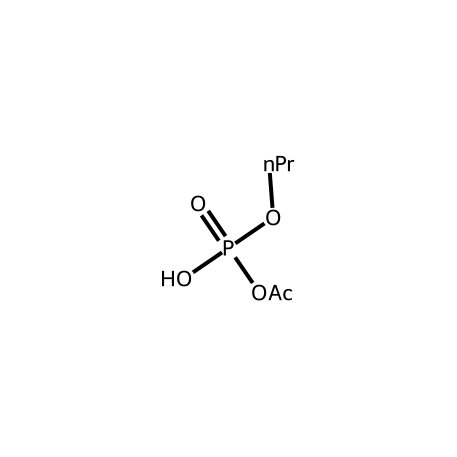 CCCOP(=O)(O)OC(C)=O